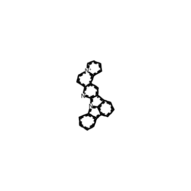 c1ccc2c(c1)c1cccc3c4cc5c(cc[n+]6ccccc56)nc4n2c13